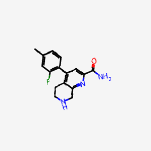 Cc1ccc(-c2cc(C(N)=O)nc3c2CCNC3)c(F)c1